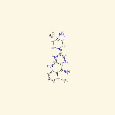 Cc1ccccc1C(=N)c1ncc(N2CCC(C)(N)CC2)nc1N